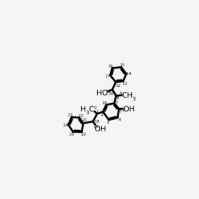 CC(c1ccc(O)c(C(C)C(O)c2ccccc2)c1)C(O)c1ccccc1